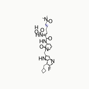 CN(C)C(=O)/C=C/CC[C@H](NC(=O)O)C(=O)Nc1cccn(Cc2cc3ncc(F)c(CC4CCC4)c3[nH]2)c1=O